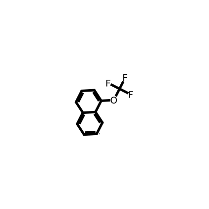 FC(F)(F)Oc1cccc2cc[c]cc12